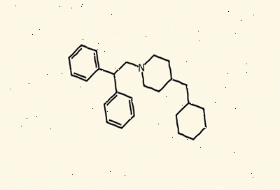 c1ccc(C(CN2CCC(CC3CCCCC3)CC2)c2ccccc2)cc1